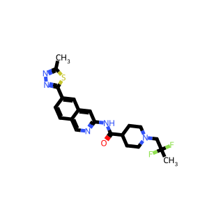 Cc1nnc(-c2ccc3cnc(NC(=O)C4CCN(CC(C)(F)F)CC4)cc3c2)s1